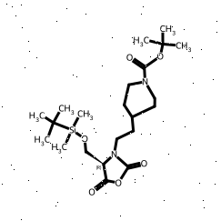 CC(C)(C)OC(=O)N1CCC(CCN2C(=O)OC(=O)[C@H]2CO[Si](C)(C)C(C)(C)C)CC1